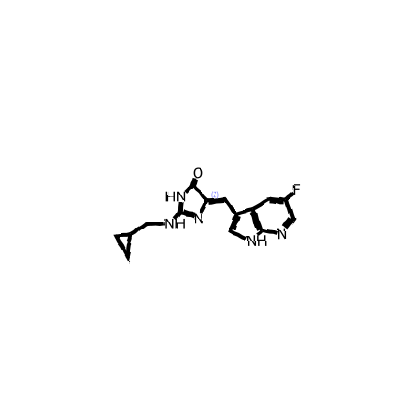 O=C1NC(NCC2CC2)=N/C1=C\c1c[nH]c2ncc(F)cc12